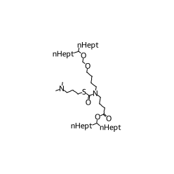 CCCCCCCC(CCCCCCC)OCOCCCCN(CCCC(=O)OC(CCCCCCC)CCCCCCC)C(=O)SCCCN(C)C